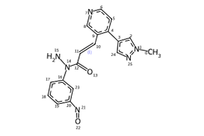 Cn1cc(-c2ccncc2/C=C/C(=O)N(N)c2cccc(N=O)c2)cn1